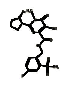 CC(=O)N1CCCC1c1nc(C(=O)NCc2ccc(F)cc2S(C)(=O)=O)c(O)c(=O)n1C